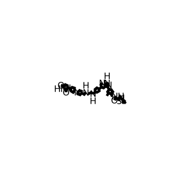 Cc1cc(-c2n[nH]c3ncc(-c4ccc(NCCNCC5CCN(c6ccc(N7CCC(=O)NC7=O)cc6)CC5)cc4)cc23)ccc1CNC(=O)c1cnc(C(C)(C)C)s1